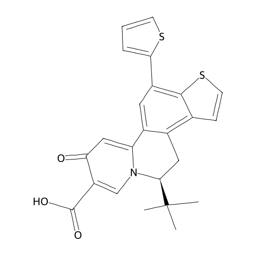 CC(C)(C)[C@@H]1Cc2c(cc(-c3cccs3)c3sccc23)-c2cc(=O)c(C(=O)O)cn21